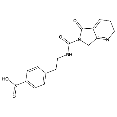 O=C(NCCc1ccc(S(=O)O)cc1)N1CC2=NCCC=C2C1=O